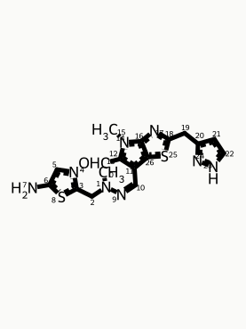 CN(Cc1ncc(N)s1)/N=C\c1c(C=O)n(C)c2nc(Cc3cc[nH]n3)sc12